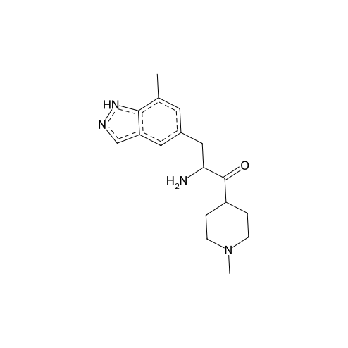 Cc1cc(CC(N)C(=O)C2CCN(C)CC2)cc2cn[nH]c12